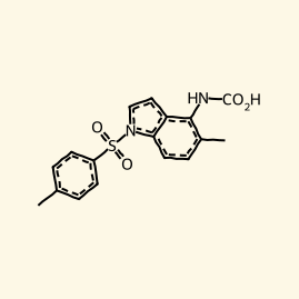 Cc1ccc(S(=O)(=O)n2ccc3c(NC(=O)O)c(C)ccc32)cc1